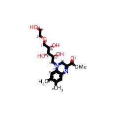 COC(=O)C1=Nc2cc(C)c(C)cc2N(C[C@H](O)[C@H](O)[C@H](O)COCCO)C1